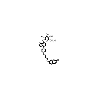 O=C(O)[C@H]1O[C@@H](Oc2ccc(N3CCN(CCCCOc4ccc5ccc(=O)[nH]c5c4)CC3)c3ccsc23)[C@H](O)[C@@H](O)[C@@H]1O